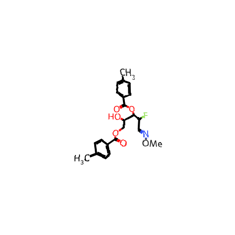 CON=CC(F)C(OC(=O)c1ccc(C)cc1)C(O)COC(=O)c1ccc(C)cc1